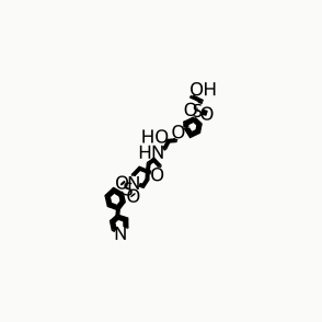 O=S(=O)(CCO)c1cccc(OC[C@@H](O)CN[C@H]2COC3(CCN(S(=O)(=O)c4cccc(-c5ccncc5)c4)CC3)C2)c1